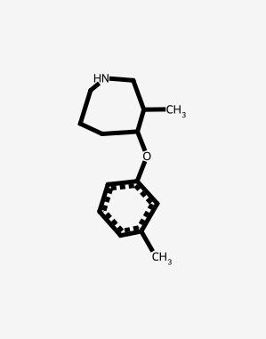 Cc1cccc(OC2CCCNCC2C)c1